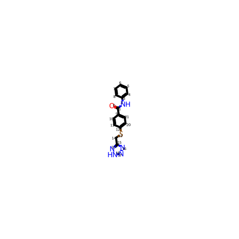 O=C(Nc1ccccc1)c1ccc(SCc2nn[nH]n2)cc1